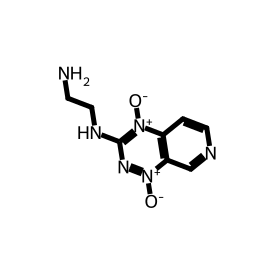 NCCNc1n[n+]([O-])c2cnccc2[n+]1[O-]